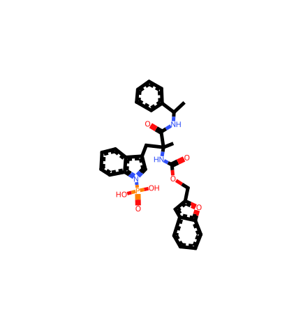 CC(NC(=O)C(C)(Cc1cn(P(=O)(O)O)c2ccccc12)NC(=O)OCc1cc2ccccc2o1)c1ccccc1